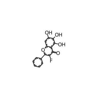 O=c1c(F)c(-c2ccccc2)oc2cc(O)c(O)c(O)c12